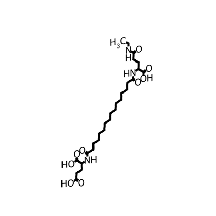 CCNC(=O)CCC(NC(=O)CCCCCCCCCCCCCCC(=O)NC(CCC(=O)O)C(=O)O)C(=O)O